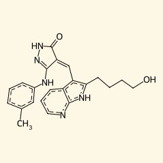 Cc1cccc(NC2=NNC(=O)C2=Cc2c(CCCCO)[nH]c3ncccc23)c1